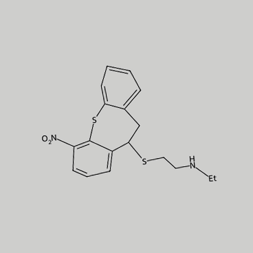 CCNCCSC1Cc2ccccc2Sc2c1cccc2[N+](=O)[O-]